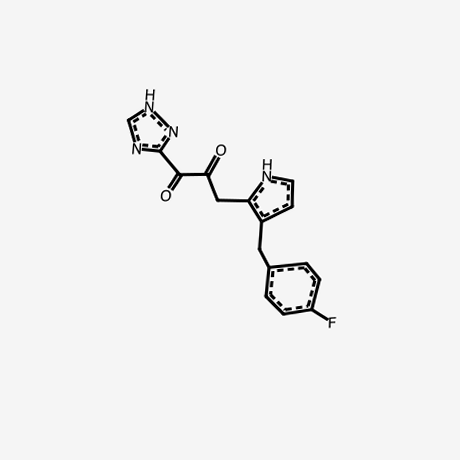 O=C(Cc1[nH]ccc1Cc1ccc(F)cc1)C(=O)c1nc[nH]n1